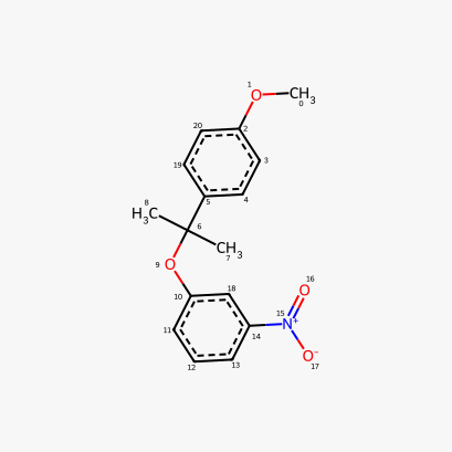 COc1ccc(C(C)(C)Oc2cccc([N+](=O)[O-])c2)cc1